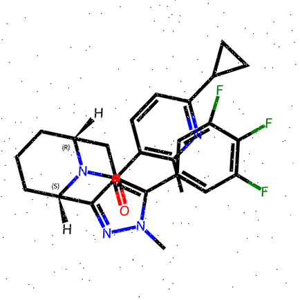 Cc1nc(C2CC2)ccc1C(=O)N1[C@@H]2CCC[C@H]1c1nn(C)c(-c3cc(F)c(F)c(F)c3)c1C2